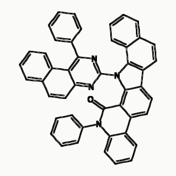 O=c1c2c(ccc3c4ccc5ccccc5c4n(-c4nc(-c5ccccc5)c5c(ccc6ccccc65)n4)c32)c2ccccc2n1-c1ccccc1